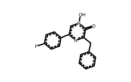 O=c1c(Cc2ccccc2)nc(-c2ccc(F)cc2)cn1O